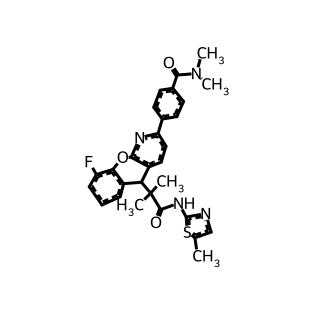 Cc1cnc(NC(=O)C(C)(C)C2c3ccc(-c4ccc(C(=O)N(C)C)cc4)nc3Oc3c(F)cccc32)s1